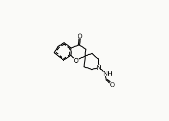 O=CNN1CCC2(CC1)CC(=O)c1ccccc1O2